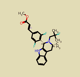 COC(=O)/C=C/c1cc(F)c([C@H]2c3[nH]c4ccccc4c3C[C@@H](C)N2CC(C)(C)F)c(F)c1